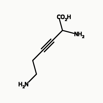 NCCC#CC(N)C(=O)O